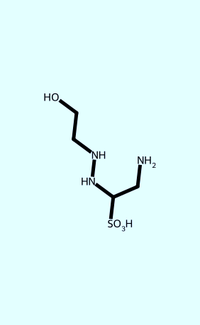 NCC(NNCCO)S(=O)(=O)O